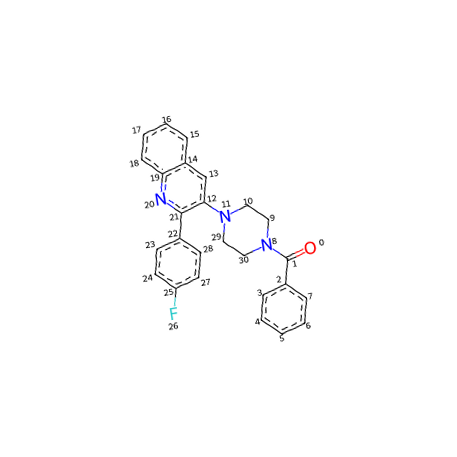 O=C(c1ccccc1)N1CCN(c2cc3ccccc3nc2-c2ccc(F)cc2)CC1